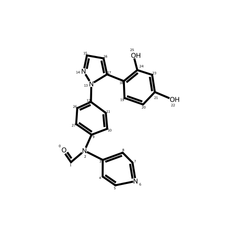 O=CN(c1ccncc1)c1ccc(-n2nccc2-c2ccc(O)cc2O)cc1